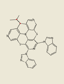 CCCc1cncc2c1B1c3c(CCC)cncc3Sc3c(-n4cnc5ccccc54)nc(-n4cnc5ccccc54)c(c31)S2